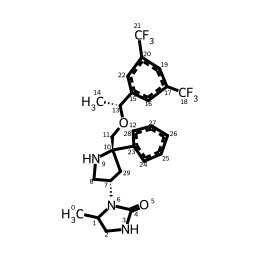 CC1CNC(=O)N1[C@@H]1CN[C@](CO[C@H](C)c2cc(C(F)(F)F)cc(C(F)(F)F)c2)(c2ccccc2)C1